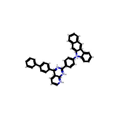 c1ccc(-c2ccc(-c3nc(-c4ccc(-n5c6ccccc6c6cc7ccccc7cc65)cc4)nc4ncccc34)cc2)cc1